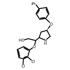 CC(C)c1ccc(O[C@H]2CNC(C(CO)Oc3cccc(Cl)c3Cl)C2)cc1